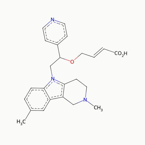 Cc1ccc2c(c1)c1c(n2CC(OC/C=C/C(=O)O)c2ccncc2)CCN(C)C1